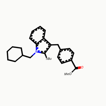 CCCCc1c(Cc2ccc(C(=O)OC)cc2)c2ccccc2n1CC1CCCCC1